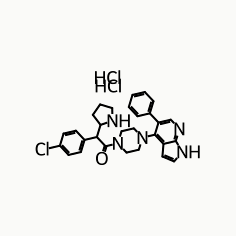 Cl.Cl.O=C(C(c1ccc(Cl)cc1)C1CCCN1)N1CCN(c2c(-c3ccccc3)cnc3[nH]ccc23)CC1